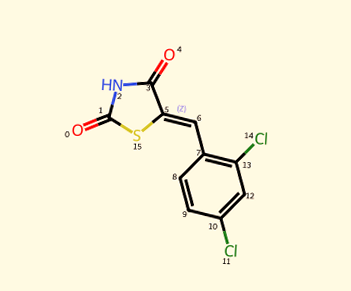 O=C1NC(=O)/C(=C/c2ccc(Cl)cc2Cl)S1